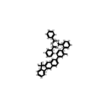 Cc1cc(-c2ccc3cc4c(cc3c2)C(C)(C)c2ccccc2-4)ccc1-c1ccccc1-c1nc(-c2ccccc2)nc(-c2ccccc2)n1